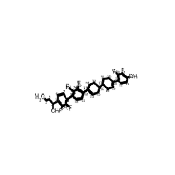 CCCC(O)c1ccc(-c2ccc(C3=CCC(C4CC=C(c5ccc(O)c(F)c5F)CC4)CC3)c(F)c2F)c(F)c1F